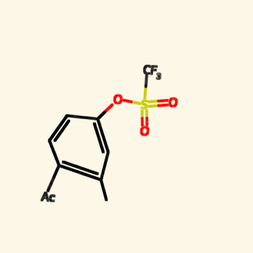 CC(=O)c1ccc(OS(=O)(=O)C(F)(F)F)cc1C